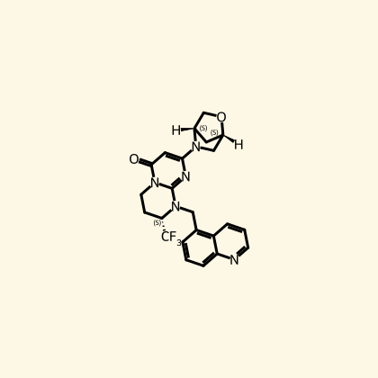 O=c1cc(N2C[C@@H]3C[C@H]2CO3)nc2n1CC[C@@H](C(F)(F)F)N2Cc1cccc2ncccc12